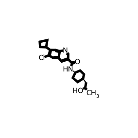 CC(O)C[C@H]1CC[C@H](NC(=O)c2cnc3cc(C4CCC4)c(Cl)cc3c2)CC1